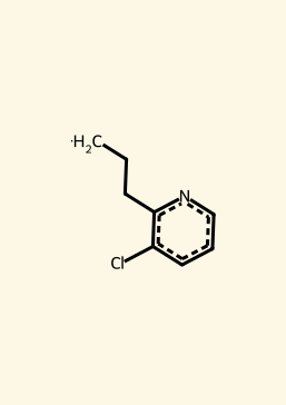 [CH2]CCc1ncccc1Cl